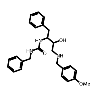 COc1ccc(CNCC(O)C(Cc2ccccc2)NC(=O)NCc2ccccc2)cc1